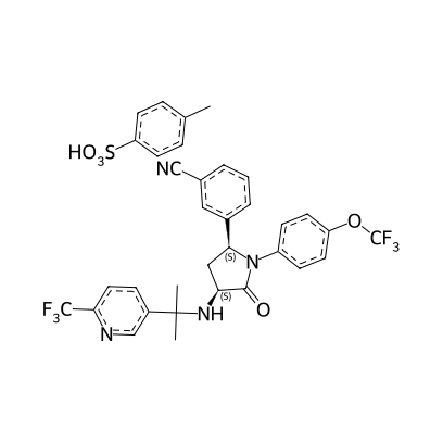 CC(C)(N[C@H]1C[C@@H](c2cccc(C#N)c2)N(c2ccc(OC(F)(F)F)cc2)C1=O)c1ccc(C(F)(F)F)nc1.Cc1ccc(S(=O)(=O)O)cc1